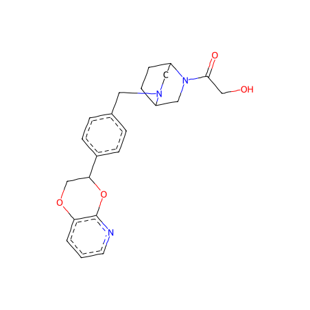 O=C(CO)N1CC2CCC1CN2Cc1ccc(C2COc3cccnc3O2)cc1